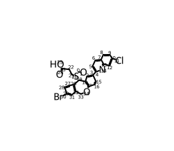 COc1c(-c2ccc3ccc(Cl)cc3n2)ccc2c1C(SCCC(=O)O)c1ccc(Br)cc1CO2